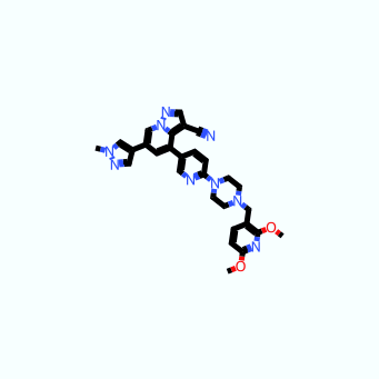 COc1ccc(CN2CCN(c3ccc(-c4cc(-c5cnn(C)c5)cn5ncc(C#N)c45)cn3)CC2)c(OC)n1